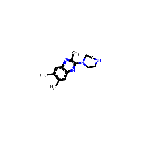 Cc1cc2nc(C)c(N3CCNCC3)nc2cc1C